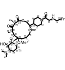 CO[C@]1(C)C[C@@H](C)CN(C)C(C2CCN(C(=O)CNCC(C)C)CC2)COC(=O)[C@H](C)C(=O)[C@H](C)[C@H]1O[C@@H]1O[C@H](C)C[C@H](N(C)C)[C@H]1O